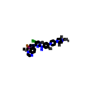 CCc1cc(Nc2ncc(Br)c(Nc3ccc4nccnc4c3P(C)(C)=S)n2)c(OC)cc1N1CCC(N2C[C@H]3C[C@@H]2CN3C)CC1